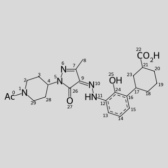 CC(=O)N1CCC(N2N=C(C)C(=NNc3cccc(C4CCCC(C(=O)O)C4)c3O)C2=O)CC1